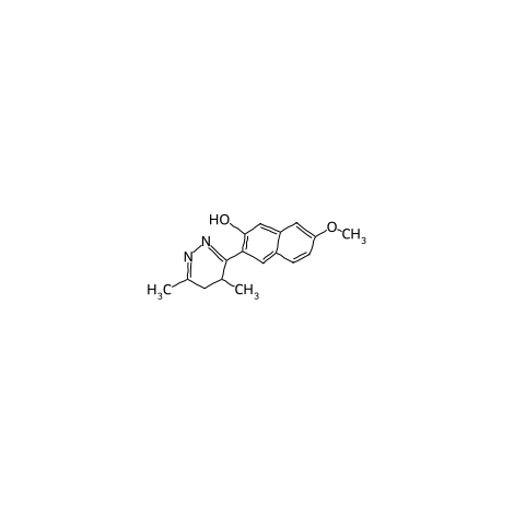 COc1ccc2cc(C3=NN=C(C)CC3C)c(O)cc2c1